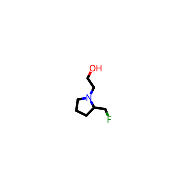 OCCN1CCCC1CF